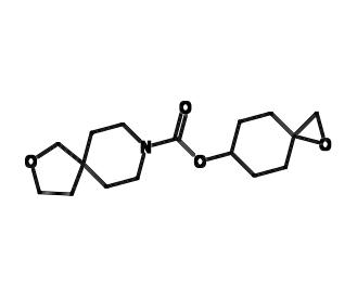 O=C(OC1CCC2(CC1)CO2)N1CCC2(CCOC2)CC1